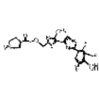 Cc1nc(COCC(=O)C2CCNCC2)sc1-c1csc(-c2cc(F)c(O)c(F)c2F)n1